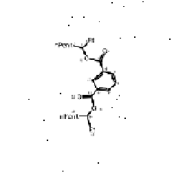 CCCCCC(CC)OC(=O)c1cccc(C(=O)OC(CC)CCCCC)c1